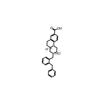 Cl.O=C(O)c1ccc2c(c1)CC[C@@H]1CN(Cc3ccccc3Cc3ccccc3)CCN21